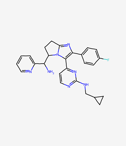 NC(c1ccccn1)C1CCc2nc(-c3ccc(F)cc3)c(-c3ccnc(NCC4CC4)n3)n21